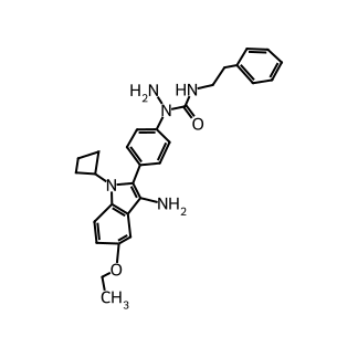 CCOc1ccc2c(c1)c(N)c(-c1ccc(N(N)C(=O)NCCc3ccccc3)cc1)n2C1CCC1